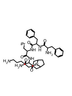 CC(C)CC(NC(=O)C(Cc1ccccc1)NC(=O)C(N)Cc1ccccc1)C(=O)NC(CCCCN)C(=O)N1C2CCC1CN(CC(N)=O)C2